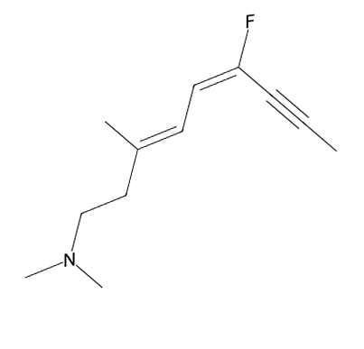 CC#C/C(F)=C\C=C(/C)CCN(C)C